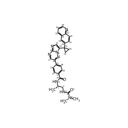 C[C@H](CNC(=O)N(C)C)NC(=O)c1ccc(-c2cnc3ncc(C4(c5ccc6ncccc6c5)CC4)n3n2)cc1